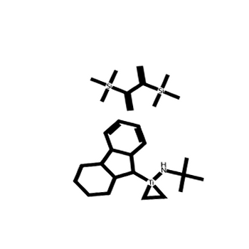 C=C(C(=C)[Si](C)(C)C)[Si](C)(C)C.CC(C)(C)[NH][Ti]1([CH]2C3C=CC=CC3C3CCCCC32)[CH2][CH2]1